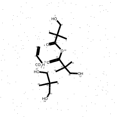 C=CC(=O)O.CC(C)(CO)C(=O)OC(=O)C(C)(C)CO.CC(C)(CO)CO